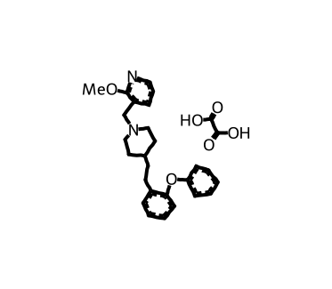 COc1ncccc1CN1CCC(CCc2ccccc2Oc2ccccc2)CC1.O=C(O)C(=O)O